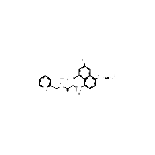 CN(CC(=O)NCc1ccccn1)c1ccc(OC=O)c2cc(Cl)cc(Cl)c12